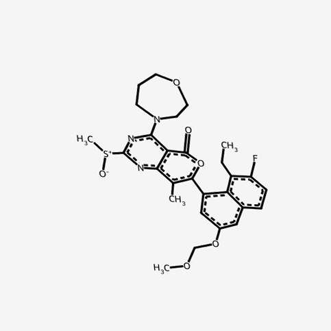 CCc1c(F)ccc2cc(OCOC)cc(-c3oc(=O)c4c(N5CCCOCC5)nc([S+](C)[O-])nc4c3C)c12